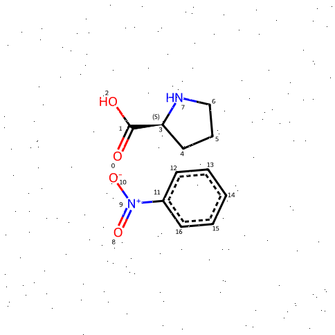 O=C(O)[C@@H]1CCCN1.O=[N+]([O-])c1ccccc1